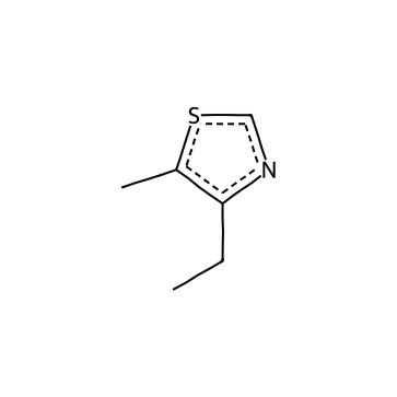 CCc1ncsc1C